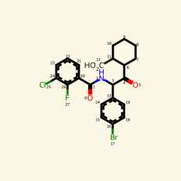 O=C(NC(C(=O)C1CCCCC1C(=O)O)c1ccc(Br)cc1)c1cccc(Cl)c1F